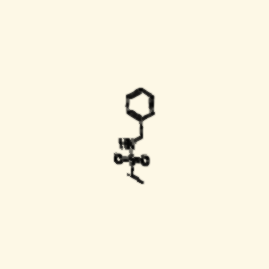 C[CH]S(=O)(=O)NCc1ccccc1